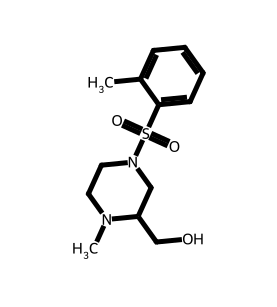 Cc1ccccc1S(=O)(=O)N1CCN(C)C(CO)C1